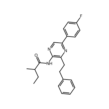 CCC(C)C(=O)Nc1ncc(-c2ccc(F)cc2)nc1CCc1ccccc1